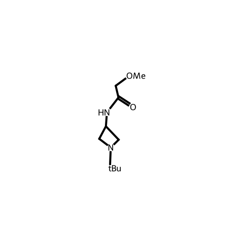 COCC(=O)NC1CN(C(C)(C)C)C1